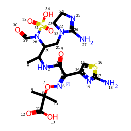 CC(NC(=O)/C(=N\OC(C)(C)C(=O)O)c1csc(N)n1)C(CN1CCN=C1N)N(C=O)S(=O)(=O)O